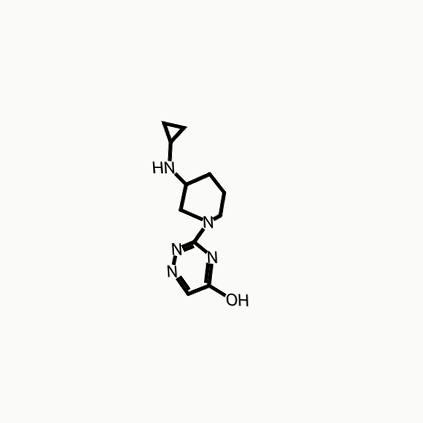 Oc1cnnc(N2CCCC(NC3CC3)C2)n1